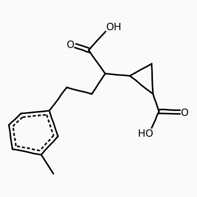 Cc1cccc(CCC(C(=O)O)C2CC2C(=O)O)c1